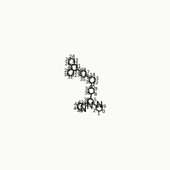 c1ccc(-c2cc(-c3ccc(-c4cccc(-c5ccc(-c6cc7ccccc7c7ccccc67)cc5)c4)cc3)cc(-c3ccccn3)n2)nc1